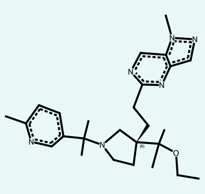 CCOC(C)(C)[C@]1(CCc2ncc3c(cnn3C)n2)CCN(C(C)(C)c2ccc(C)nc2)C1